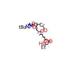 CC[C@H](O)[C@@H](C)[C@H]1O[C@@H]1C[C@@](C)(O)/C=C/C=C(\C)[C@H]1OC(=O)C[C@H](C)CC[C@@](C)(OC(C)=O)[C@@H](OC(=O)N2CCN(C(C)(C)C)CC2)/C=C/[C@@H]1C